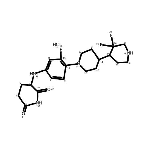 Cl.O=C1CCC(Nc2ccc(N3CCC(C4CCNCC4(F)F)CC3)c(F)c2)C(=O)N1